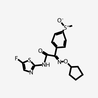 C[S+]([O-])c1ccc(/C(=N\OC2CCCC2)C(=O)Nc2ncc(F)s2)cc1